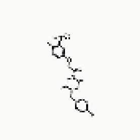 CCNc1cc(OCC(=O)N2CC(C)N(Cc3ccc(F)cc3)CC2C)ccc1C